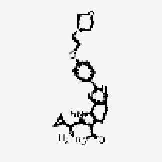 NC(c1[nH]c2c(c1C(=O)O)CCc1cnc(-c3ccc(OCCN4CCOCC4)cc3)nc1-2)C1CC1